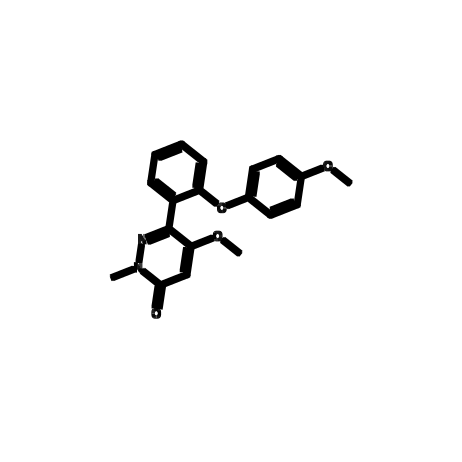 COc1ccc(Oc2ccccc2-c2nn(C)c(=O)cc2OC)cc1